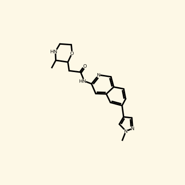 CC1NCCOC1CC(=O)Nc1cc2cc(-c3cnn(C)c3)ccc2cn1